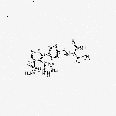 C[C@@H](O)[C@H](NCc1ccc(-c2cccc(S(N)(=O)=O)c2-c2nnn[nH]2)cc1)C(=O)O